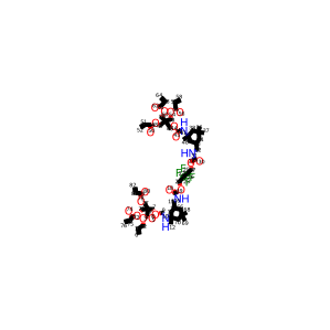 C=CCOC(=O)C(COCNC1(C)CC(CNC(=O)OCC(F)(F)C(F)(F)COC(=O)NCC2CC(C)(C)CC(C)(NC(=O)OCC(COC(=O)C=C)(COC(=O)C=C)COC(=O)C=C)C2)CC(C)(C)C1)(COC(=O)C=C)COC(=O)C=C